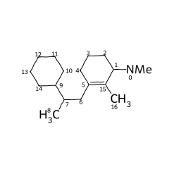 CNC1CCCC(CC(C)C2CCCCC2)=C1C